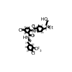 CCN(CCO)Cc1ccc(C(=O)Nc2ccc(Cl)cc2C(=O)N/N=C/c2ccc(Cl)c(C(F)(F)F)c2)cc1